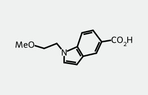 COCCn1ccc2cc(C(=O)O)ccc21